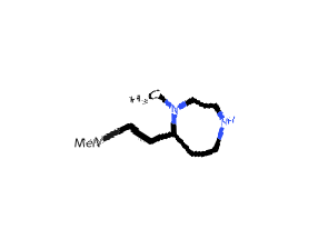 CNCCC1CCNCCN1C